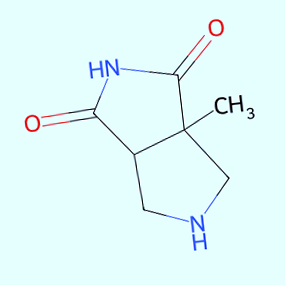 CC12CNCC1C(=O)NC2=O